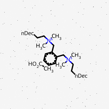 CC(=O)O.CCCCCCCCCCCC[N+](C)(C)Cc1ccccc1C[N+](C)(C)CCCCCCCCCCCC